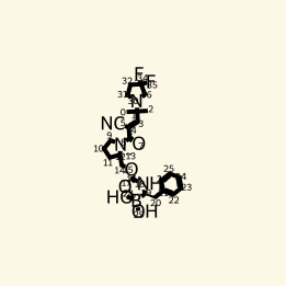 CC(C)(/C=C(\C#N)C(=O)N1CCC[C@]1(C)COC(=O)N[C@@H](Cc1ccccc1)B(O)O)N1CCC(F)(F)C1